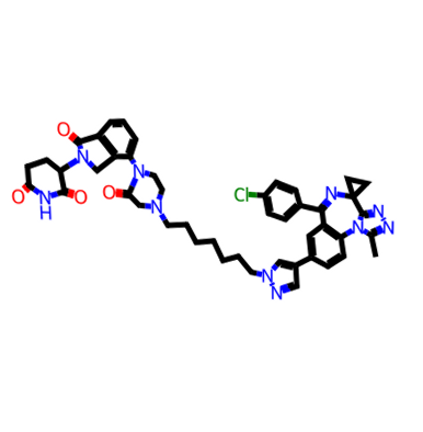 Cc1nnc2n1-c1ccc(-c3cnn(CCCCCCCN4CCN(c5cccc6c5CN(C5CCC(=O)NC5=O)C6=O)C(=O)C4)c3)cc1C(c1ccc(Cl)cc1)=NC21CC1